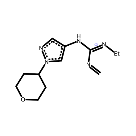 C=N/C(=N\CC)Nc1cnn(C2CCOCC2)c1